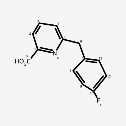 O=C(O)c1cccc(Cc2ccc(F)cc2)n1